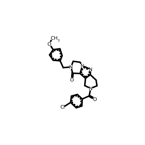 COc1ccc(CN2CCn3nc4c(c3C2=O)CN(C(=O)c2ccc(Cl)cc2)CC4)cc1